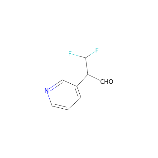 O=CC(c1cccnc1)C(F)F